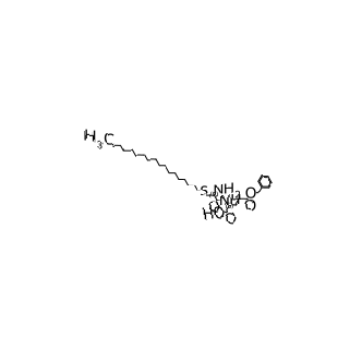 CCCCCCCCCCCCCCCCCCSC[C@@H](N)C(=O)N[C@@H](CCC(=O)OCc1ccccc1)C(=O)O